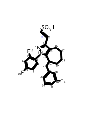 O=S(=O)(O)/C=C/c1nn(-c2ccc(F)cc2F)c2c1CCCCC2Cc1cccc(F)c1